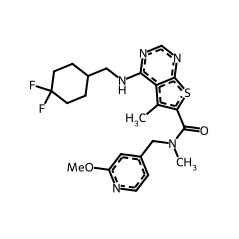 COc1cc(CN(C)C(=O)c2sc3ncnc(NCC4CCC(F)(F)CC4)c3c2C)ccn1